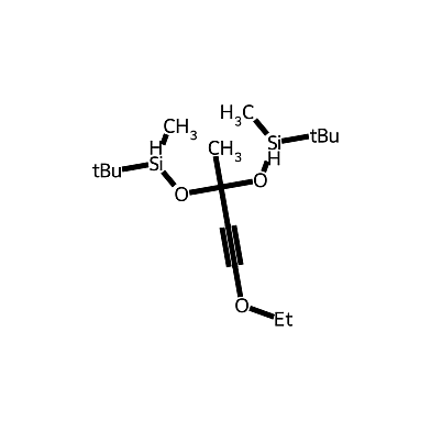 CCOC#CC(C)(O[SiH](C)C(C)(C)C)O[SiH](C)C(C)(C)C